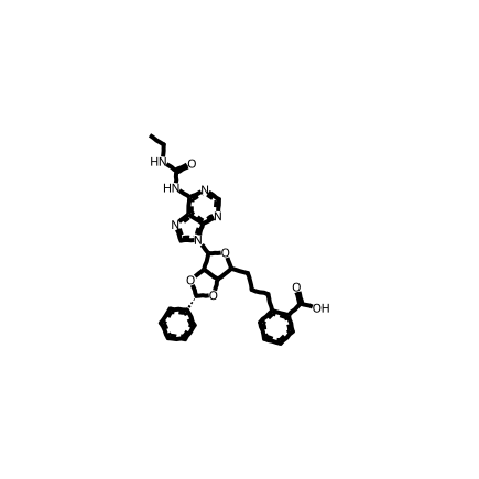 CCNC(=O)Nc1ncnc2c1ncn2C1OC(CCCc2ccccc2C(=O)O)C2O[C@H](c3ccccc3)OC21